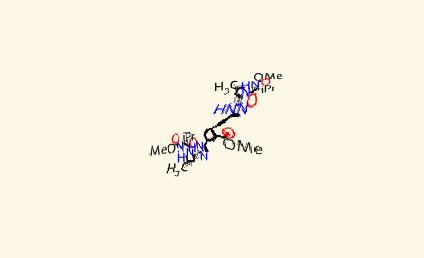 COC(=O)N[C@H](C(=O)N1C[C@@H](C)C[C@H]1c1ncc(C#Cc2ccc(-c3cnc([C@@H]4C[C@H](C)CN4C(=O)[C@@H](NC(=O)OC)C(C)C)[nH]3)cc2C(=O)OC)[nH]1)C(C)C